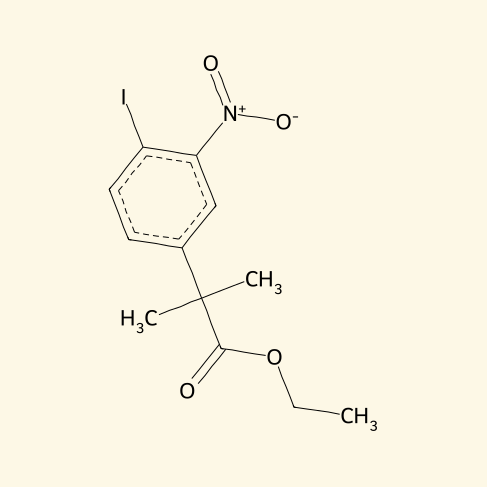 CCOC(=O)C(C)(C)c1ccc(I)c([N+](=O)[O-])c1